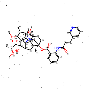 CCN1C[C@]2(OC(=O)c3ccccc3NC(=O)/C=C/c3cccnc3)CC[C@H](OC)C34[C@@H]1C(C[C@@H]32)[C@@](O)(C[C@@H](C)OC)[C@@]1(O)[C@@H](OC)[C@@H](C)C[C@@H]41